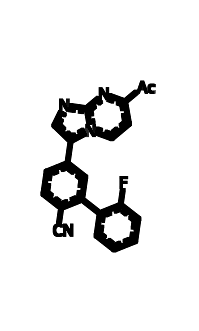 CC(=O)c1ccn2c(-c3ccc(C#N)c(-c4ccccc4F)c3)cnc2n1